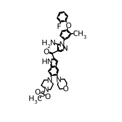 Cc1cc(-n2ncc(C(=O)c3cc4cc(N5CCOCC5)c(N5CCN(S(C)(=O)=O)CC5)cc4[nH]3)c2N)ccc1Oc1ccccc1F